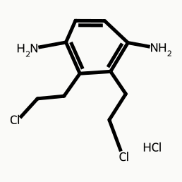 Cl.Nc1ccc(N)c(CCCl)c1CCCl